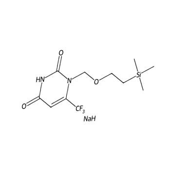 C[Si](C)(C)CCOCn1c(C(F)(F)F)cc(=O)[nH]c1=O.[NaH]